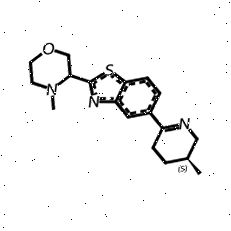 C[C@H]1CCC(c2ccc3sc(C4COCCN4C)nc3c2)=NC1